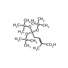 CC(=CC[Si](O[Si](C)(C)C)(O[Si](C)(C)C)O[Si](C)(C)C)C(=O)O